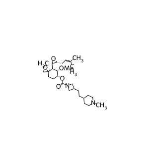 CO[C@@H]1[C@H](OC(=O)N2CC(CCC3CCN(C)CC3)C2)CC[C@]2(CO2)[C@H]1[C@@]1(C)O[C@@H]1CC=C(C)C